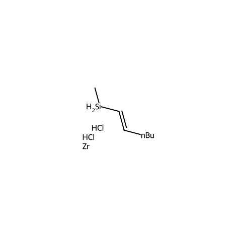 CCCC/C=C/[SiH2]C.Cl.Cl.[Zr]